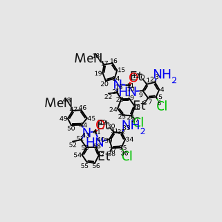 CCc1c(N)cc(Cl)c(CC)c1NC(=O)N(c1ccc(NC)cc1)C(C)c1ccc(Cl)cc1.CCc1c(N)cc(Cl)c(CC)c1NC(=O)N(c1ccc(NC)cc1)C(C)c1ccccc1